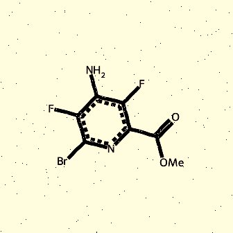 COC(=O)c1nc(Br)c(F)c(N)c1F